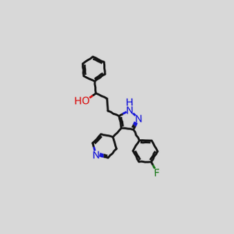 OC(CCc1[nH]nc(-c2ccc(F)cc2)c1C1C=CN=CC1)c1ccccc1